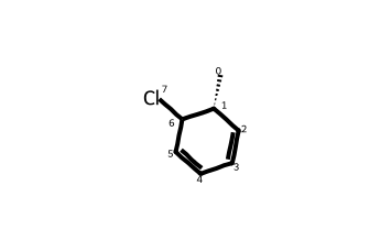 C[C@@H]1C=CC=CC1Cl